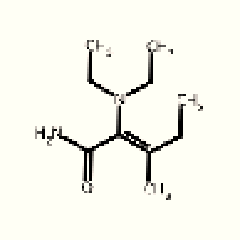 CCC(C)=C(C(N)=O)N(CC)CC